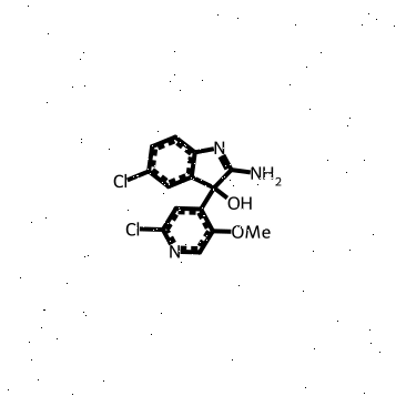 COc1cnc(Cl)cc1C1(O)C(N)=Nc2ccc(Cl)cc21